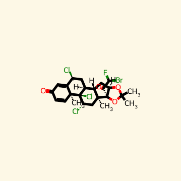 CC1(C)O[C@@H]2C[C@H]3[C@@H]4C[C@H](Cl)C5=CC(=O)C=C[C@]5(C)[C@@]4(Cl)[C@@H](Cl)C[C@]3(C)[C@]2(C(=O)C(F)Br)O1